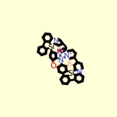 c1ccc2c(c1)-c1ccccc1[Si]21c2ccc3c4c2B2c5c(ccnc51)-c1ccc[n+](c12)[N+]41c2c(ccc4c2B2c5c(ccnc5[Si]45c4ccccc4-c4ccccc45)-c4ccc[n+]1c42)O3